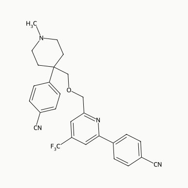 CN1CCC(COCc2cc(C(F)(F)F)cc(-c3ccc(C#N)cc3)n2)(c2ccc(C#N)cc2)CC1